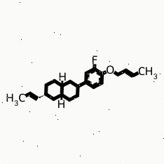 CC=C[C@@H]1CC[C@@H]2CC(c3ccc(OC/C=C/C)c(F)c3)CC[C@@H]2C1